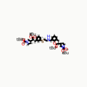 CC(C)(C)OC(=O)[C@@H](Cc1cccc(CNCCSc2cccc(C[C@H](C(=O)OC(C)(C)C)[C@H]3CCN(C(=O)OC(C)(C)C)C3)c2)c1)[C@H]1CCN(C(=O)OC(C)(C)C)C1